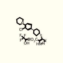 O=C(O)C(F)(F)F.O=C(O)c1[nH]nnc1S[C@H]1CC[C@H](c2ccc(N3CCCCC3)c(Cl)c2)CC1